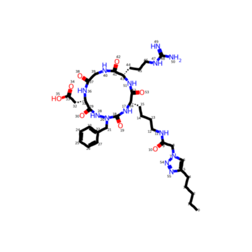 CCCCCc1cn(CC(=O)NCCCC[C@@H]2NC(=O)N(Cc3ccccc3)NC(=O)[C@H](CC(=O)O)NC(=O)CNC(=O)[C@H](CCCNC(=N)N)NC2=O)nn1